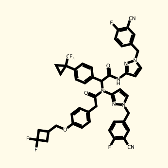 N#Cc1cc(Cn2ccc(NC(=O)C(c3ccc(C4(C(F)(F)F)CC4)cc3)N(C(=O)Cc3ccc(OCC4CC(F)(F)C4)cc3)c3ccn(Cc4ccc(F)c(C#N)c4)n3)n2)ccc1F